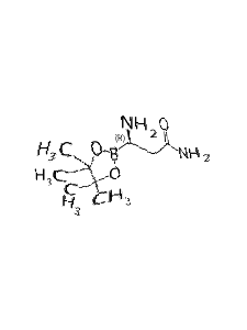 CC1(C)OB([C@@H](N)CC(N)=O)OC1(C)C